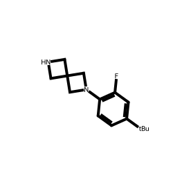 CC(C)(C)c1ccc(N2CC3(CNC3)C2)c(F)c1